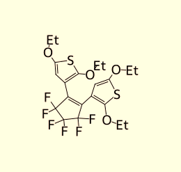 CCOc1cc(C2=C(c3cc(OCC)sc3OCC)C(F)(F)C(F)(F)C2(F)F)c(OCC)s1